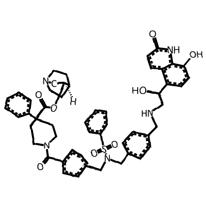 O=C(c1ccc(CN(Cc2ccc(CNCC(O)c3ccc(O)c4[nH]c(=O)ccc34)cc2)S(=O)(=O)c2ccccc2)cc1)N1CCC(C(=O)O[C@H]2CN3CCC2CC3)(c2ccccc2)CC1